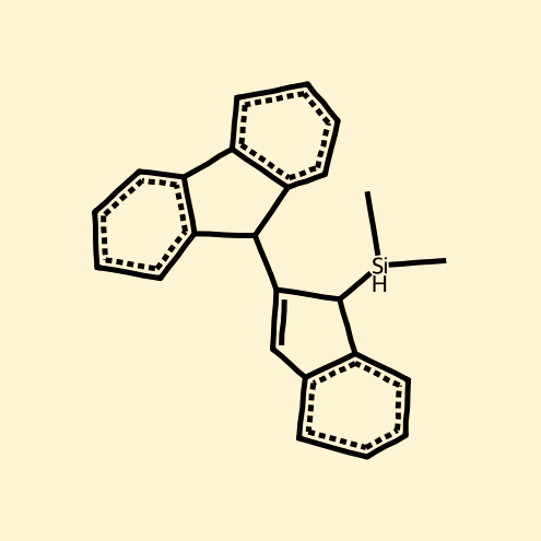 C[SiH](C)C1C(C2c3ccccc3-c3ccccc32)=Cc2ccccc21